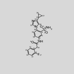 NS(=O)(=O)c1cc(NC(=O)Cc2ccccc2F)ccc1-n1cnc(C2CC2)c1